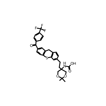 CC1(C)OCC(CCc2ccc3c(c2)Sc2ccc(C(=O)c4ccc(C(F)(F)F)cc4)cc2C3)(NC(=O)O)CO1